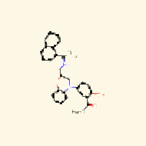 COC(=O)c1cc(N2CC(CN[C@H](C)c3cccc4ccccc34)Oc3ccccc32)ccc1O